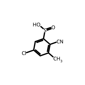 Cc1cc(Cl)cc(S(=O)O)c1C#N